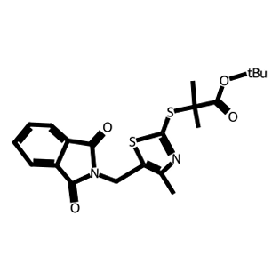 Cc1nc(SC(C)(C)C(=O)OC(C)(C)C)sc1CN1C(=O)c2ccccc2C1=O